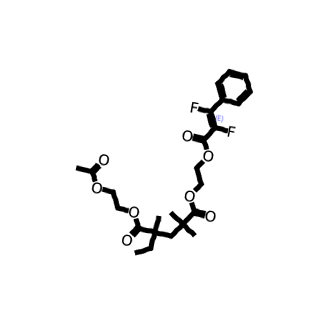 CCC(C)(CC(C)(C)C(=O)OCCOC(=O)/C(F)=C(\F)c1ccccc1)C(=O)OCCOC(C)=O